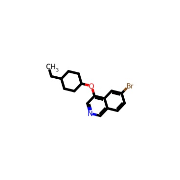 CCC1CCC(Oc2cncc3ccc(Br)cc23)CC1